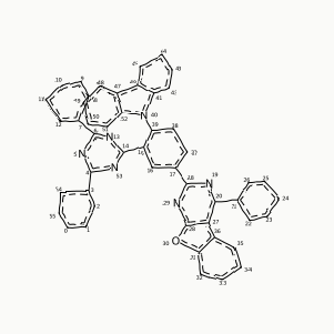 c1ccc(-c2nc(-c3ccccc3)nc(-c3cc(-c4nc(-c5ccccc5)c5c(n4)oc4ccccc45)ccc3-n3c4ccccc4c4ccccc43)n2)cc1